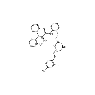 Cc1cc(C#N)ccc1OC[C@@H]1CNC[C@@H](CCc2ccccc2NC(=O)[C@@H](NC(=O)O)C(c2ccccc2)c2ccccc2)O1